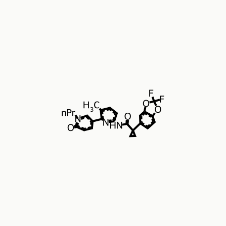 CCCn1cc(-c2nc(NC(=O)C3(c4ccc5c(c4)OC(F)(F)O5)CC3)ccc2C)ccc1=O